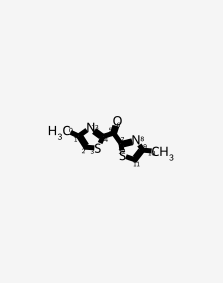 Cc1csc(C(=O)c2nc(C)cs2)n1